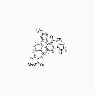 COC(=O)C1CCC2CC(c3cc(O[C@H](c4ccc(Cl)cc4N4C=CC(C)N4)C(F)(F)F)nc(N)n3)=CCC2CN1C